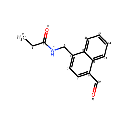 CCC(=O)NCc1ccc(C=O)c2ccccc12